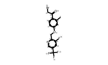 Cc1cc(OCc2ncc(C(F)(F)F)cc2F)ccc1C(=O)CBr